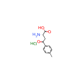 Cc1ccc(C(=O)C[C@H](N)C(=O)O)cc1.Cl